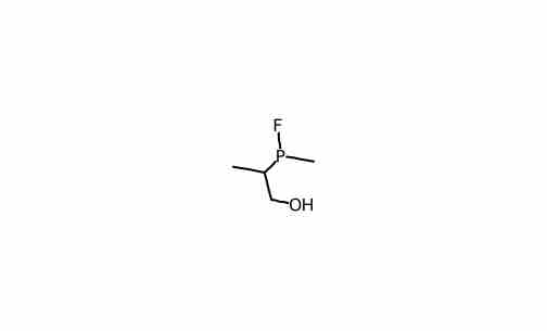 CC(CO)P(C)F